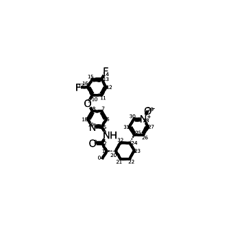 CC(C(=O)Nc1ccc(Oc2ccc(F)cc2F)cn1)[C@H]1CCC[C@@H](c2cc[n+]([O-])cc2)C1